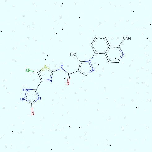 COc1nccc2c(-n3ncc(C(=O)Nc4nc(-c5nc(=O)[nH][nH]5)c(Cl)s4)c3C(F)(F)F)cccc12